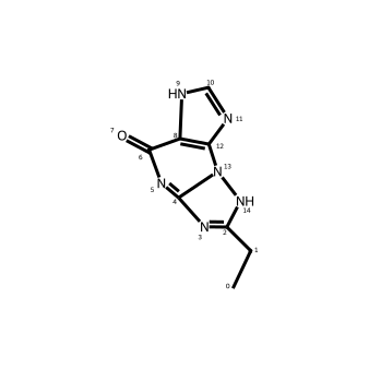 CCc1nc2nc(=O)c3[nH]cnc3n2[nH]1